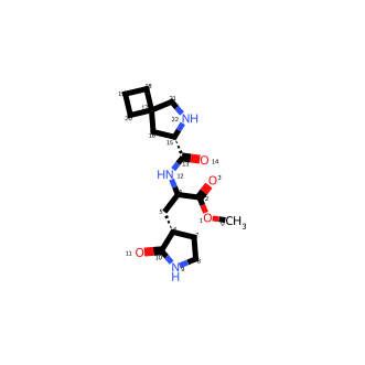 COC(=O)C(C[C@@H]1CCNC1=O)NC(=O)[C@@H]1CC2(CCC2)CN1